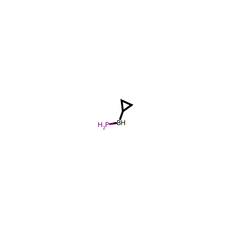 PBC1CC1